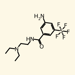 CCN(CC)CCNC(=O)c1cc(N)cc(S(F)(F)(F)(F)F)c1